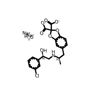 C[C@H](Cc1ccc2c(c1)OC(C(=O)[O-])(C(=O)[O-])O2)NC[C@H](O)c1cccc(Cl)c1.O.[Na+].[Na+]